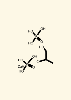 CC(Cl)CO.O=P(O)(O)O.O=P(O)(O)O.[CaH2]